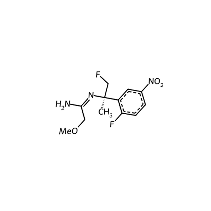 COC/C(N)=N\[C@@](C)(CF)c1cc([N+](=O)[O-])ccc1F